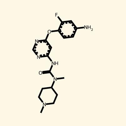 CN1CCC(N(C)C(=O)Nc2cc(Oc3ccc(N)cc3F)ncn2)CC1